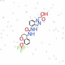 O=C(O)Cn1ncc2c(NC(=O)NC3CCOc4c(OC(F)(F)F)cccc43)cccc21